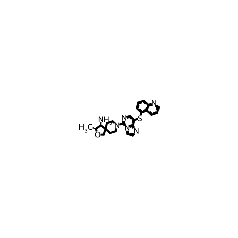 C[C@@H]1OCC2(CCN(c3ncc(Sc4cccc5ncccc45)c4nccn34)CC2)[C@@H]1N